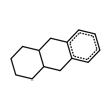 [C]1CCCC2Cc3ccccc3CC12